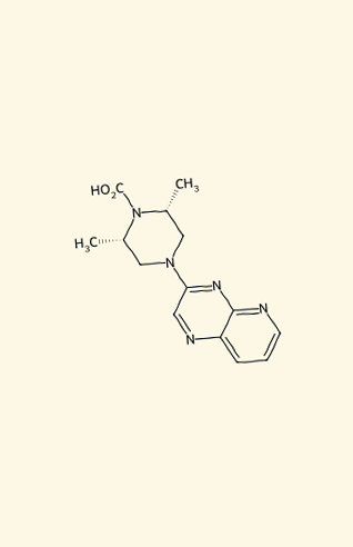 C[C@@H]1CN(c2cnc3cccnc3n2)C[C@H](C)N1C(=O)O